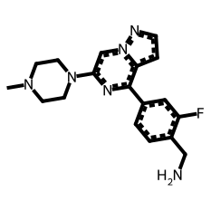 CN1CCN(c2cn3nccc3c(-c3ccc(CN)c(F)c3)n2)CC1